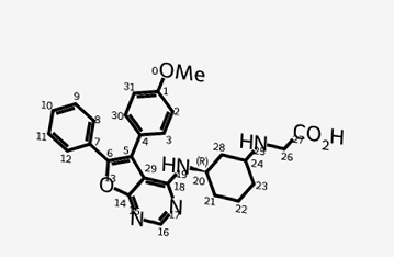 COc1ccc(-c2c(-c3ccccc3)oc3ncnc(N[C@@H]4CCCC(NCC(=O)O)C4)c23)cc1